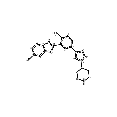 Nc1ncc(-c2cnn(C3CCNCC3)c2)cc1-c1nc2ncc(F)cc2o1